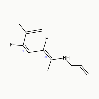 C=CCN/C(C)=C(F)/C=C(/F)C(=C)C